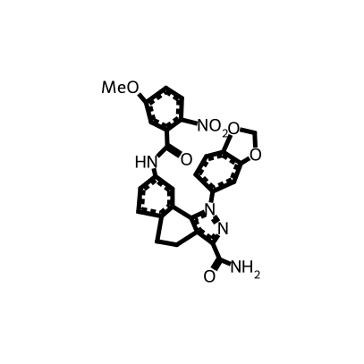 COc1ccc([N+](=O)[O-])c(C(=O)Nc2ccc3c(c2)-c2c(c(C(N)=O)nn2-c2ccc4c(c2)OCO4)CC3)c1